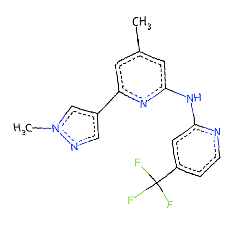 Cc1cc(Nc2cc(C(F)(F)F)ccn2)nc(-c2cnn(C)c2)c1